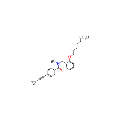 CCOC(=O)CCCCCOc1ccccc1CN(C(=O)c1ccc(C#CC2CC2)cc1)C(C)C